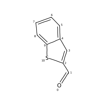 O=[C]c1cc2ccccc2s1